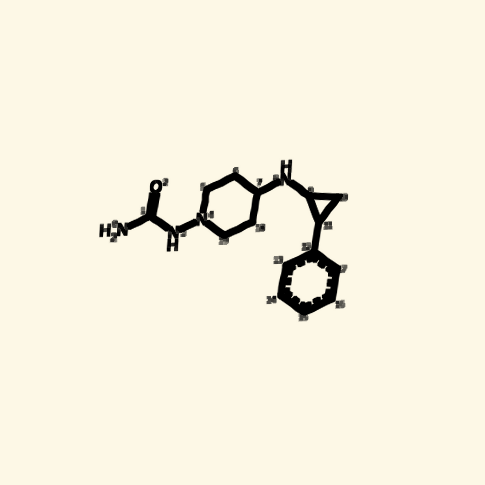 NC(=O)NN1CCC(NC2CC2c2ccccc2)CC1